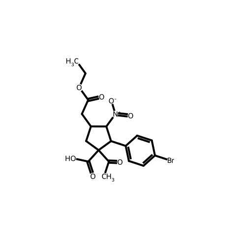 CCOC(=O)CC1CC(C(C)=O)(C(=O)O)C(c2ccc(Br)cc2)C1[N+](=O)[O-]